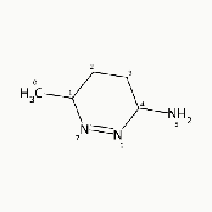 CC1CCC(N)N=N1